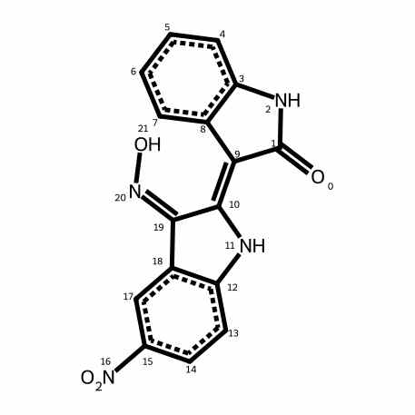 O=C1Nc2ccccc2/C1=C1/Nc2ccc([N+](=O)[O-])cc2/C1=N/O